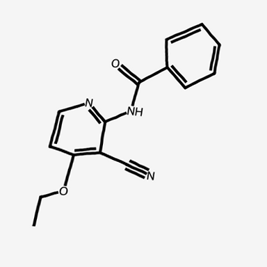 CCOc1ccnc(NC(=O)c2ccccc2)c1C#N